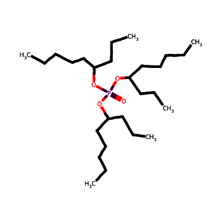 CCCCCC(CCC)OP(=O)(OC(CCC)CCCCC)OC(CCC)CCCCC